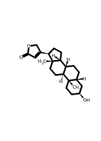 C[C@]12CC[C@H](O)C[C@H]1CC[C@H]1[C@H]3CC[C@H](C4=CC(=O)OC4)[C@@]3(C)CC[C@@H]12